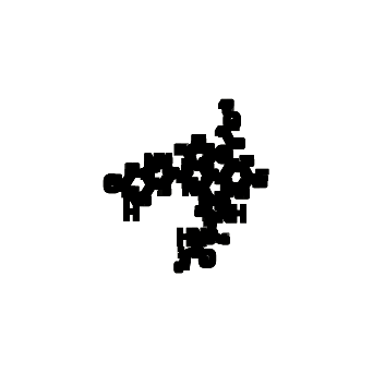 C=CC(=O)N[C@H](C)c1cc(-c2nc(-c3cnc4c(c3)CNC(=O)C4)c3ccsc3c2-c2c(F)cc(F)cc2OCCOC)n[nH]1